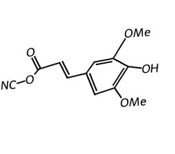 COc1cc(C=CC(=O)OC#N)cc(OC)c1O